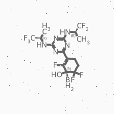 B[C@@]1(O)C(F)=C(c2nc(N[C@H](C)C(F)(F)F)nc(N[C@H](C)C(F)(F)F)n2)CCC1(F)F